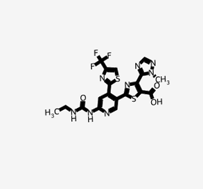 CCNC(=O)Nc1cc(-c2nc(C(F)(F)F)cs2)c(-c2nc(-c3ncnn3C)c(C(=O)O)s2)cn1